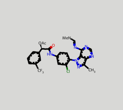 CN/C=N/c1ncnc2c(C)nn(-c3ccc(NC(=O)[C@H](OC(C)=O)c4cccc(C(F)(F)F)c4)cc3Cl)c12